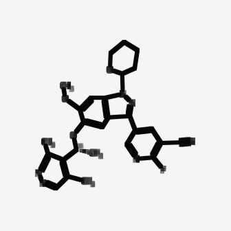 COc1cc2c(cc1O[C@H](C)c1c(C)cnnc1C)c(-c1cnc(F)c(C#N)c1)nn2C1CCCCO1